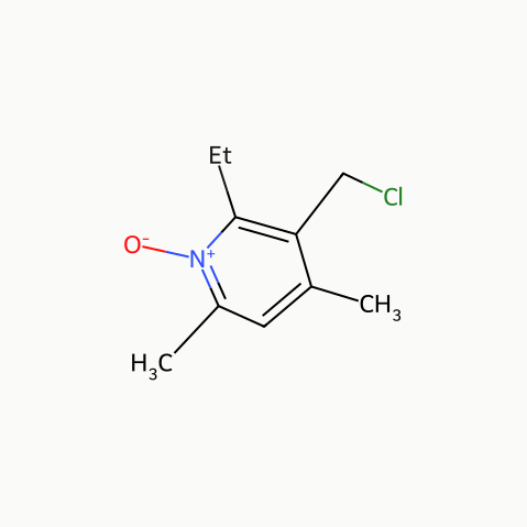 CCc1c(CCl)c(C)cc(C)[n+]1[O-]